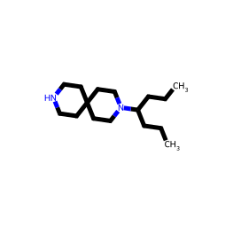 CCCC(CCC)N1CCC2(CCNCC2)CC1